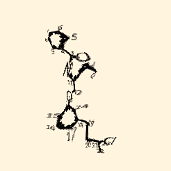 Cc1oc(-c2ccccc2)nc1COc1cccc(C=CC(C)Cl)c1